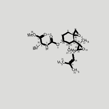 CCC(C)[C@@H](NC(=O)O[C@@H]1CC[C@]2(CO2)[C@@H]([C@@]2(C)O[C@@H]2CC=C(C)C)[C@@H]1OC)C(=O)OC